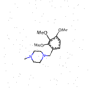 COc1ccc(CN2CCN(C)CC2)c(OC)c1OC